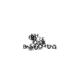 COCCOCCOc1ccc2c(c1OC(F)F)-c1ccc(CS(N)(=O)=O)cc1C(c1ccc(Br)s1)O2